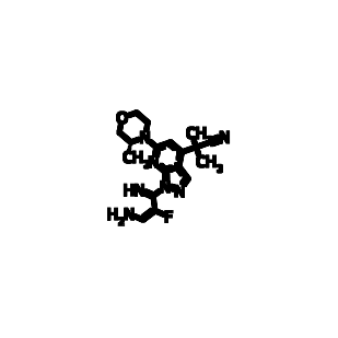 C[C@@H]1COCCN1c1cc(C(C)(C)C#N)c2cnn(C(=N)/C(F)=C\N)c2n1